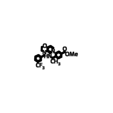 COC(=O)c1ccc([C@H](C)Nc2nccc3c2N(Cc2cccc(C(F)(F)F)c2)CCO3)cc1